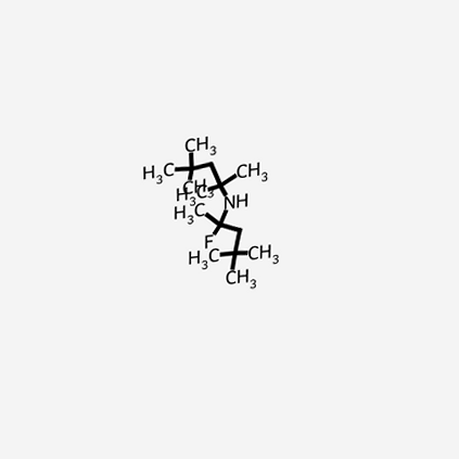 CC(C)(C)CC(C)(C)NC(C)(F)CC(C)(C)C